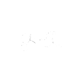 O=Cc1ccc(OCc2cccc3ccccc23)c(C(=O)O)c1